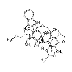 COC[C@@H]1Cc2c([nH]c3ccccc23)[C@@]2(CS[C@@H]3c4c(OC(C)=O)c(C)c5c(c4C(COC2=O)N2[C@@H]3C3c4c(cc(C)c(OC)c4O)CC2(C)CN3C)OCO5)N1